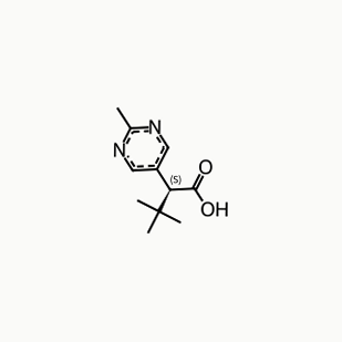 Cc1ncc([C@@H](C(=O)O)C(C)(C)C)cn1